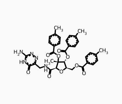 Cc1ccc(C(=O)OC[C@H]2O[C@@H](C(=O)NCc3nnc(N)[nH]c3=O)[C@](C)(OC(=O)c3ccc(C)cc3)[C@@H]2OC(=O)c2ccc(C)cc2)cc1